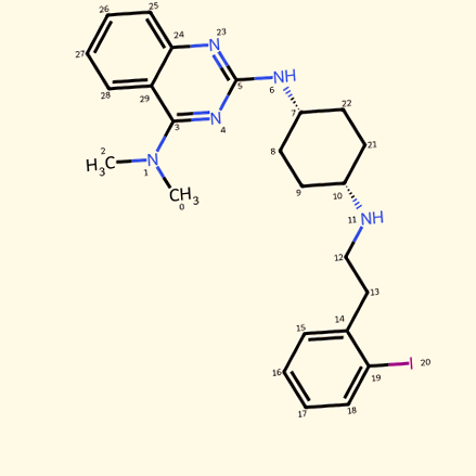 CN(C)c1nc(N[C@H]2CC[C@@H](NCCc3ccccc3I)CC2)nc2ccccc12